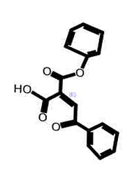 O=C(O)/C(=C\C(=O)c1ccccc1)C(=O)Oc1ccccc1